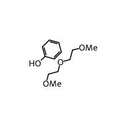 COCCOCCOC.Oc1ccccc1